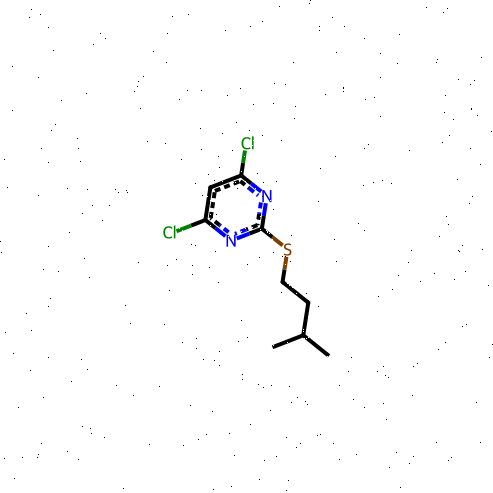 CC(C)CCSc1nc(Cl)cc(Cl)n1